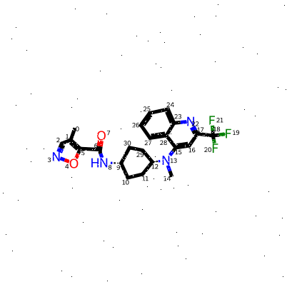 Cc1cnoc1C(=O)N[C@H]1CC[C@@H](N(C)c2cc(C(F)(F)F)nc3ccccc23)CC1